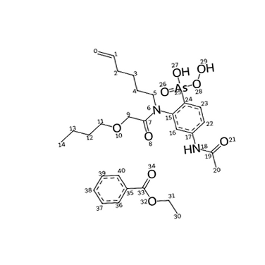 C=CCCCCN(C(=O)COCCCC)c1cc(NC(C)=O)ccc1[As](=O)(O)OO.CCOC(=O)c1ccccc1